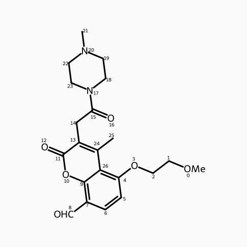 COCCOc1ccc(C=O)c2oc(=O)c(CC(=O)N3CCN(C)CC3)c(C)c12